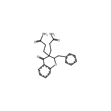 NC(=O)CCC1(CCC(N)=O)C(=O)c2ccccc2OC1Cc1ccccc1